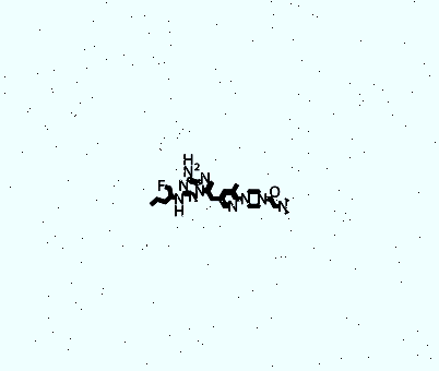 CCCC(CF)Nc1nc(N)c2ncc(Cc3cnc(N4CCN(C(=O)CN(C)C)CC4)c(C)c3)n2n1